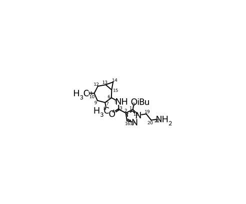 CC(C)COc1c(C(=O)NC2C(C)CC(C)CC3CC32)cnn1CCN